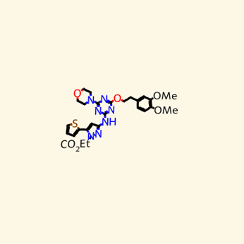 CCOC(=O)n1nc(Nc2nc(OCCc3ccc(OC)c(OC)c3)nc(N3CCOCC3)n2)cc1-c1cccs1